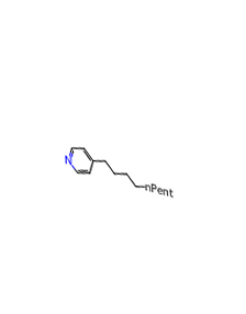 CCCCCCCCCc1ccncc1